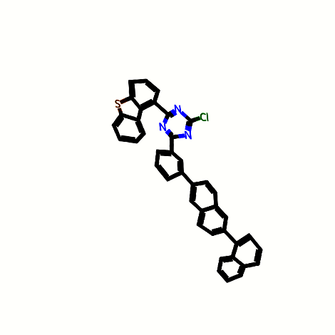 Clc1nc(-c2cccc(-c3ccc4cc(-c5cccc6ccccc56)ccc4c3)c2)nc(-c2cccc3sc4ccccc4c23)n1